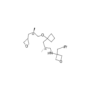 CC(C)CC1(NC[C@H](C)CC2(OC[C@H](C)CC3COC3)CCC2)COC1